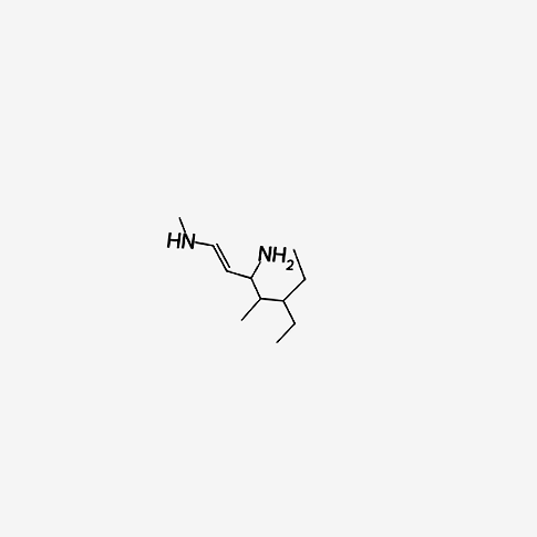 CCC(CC)C(C)C(N)C=CNC